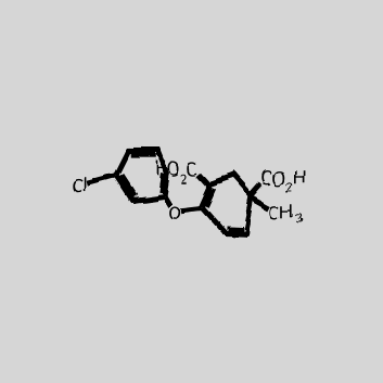 CC1(C(=O)O)C=CC(Oc2cccc(Cl)c2)=C(C(=O)O)C1